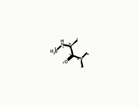 BN[C@@H](C)C(=O)N(C)C